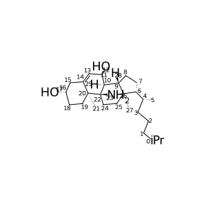 CC(C)CCC[C@@H](C)[C@H]1CC[C@H]2[C@@H]3[C@H](O)C=C4C[C@@H](O)CC[C@]4(C)[C@@]3(N)CC[C@]12C